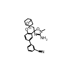 CN1OC2(C[C@@]3(CC4CCC3OC4)Oc3ccc(-c4cccc(C#N)c4)cc32)N=C1N